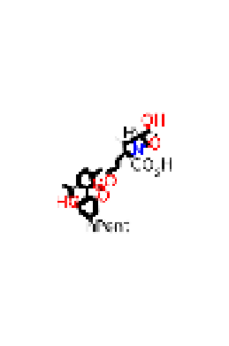 C=C(C)[C@@H]1CCC(C)=C[C@H]1c1c(O)cc(CCCCC)cc1OC(=O)OC/C=C/C1=C(C(=O)O)N2C(=O)[C@](C)([C@@H](C)O)[C@H]2[C@H]1C